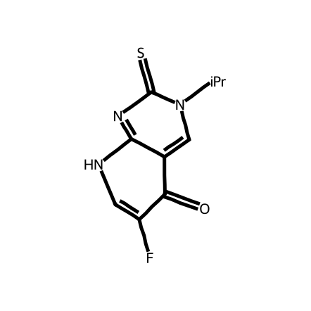 CC(C)n1cc2c(=O)c(F)c[nH]c2nc1=S